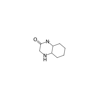 O=C1CNC2CCCCC2[N]1